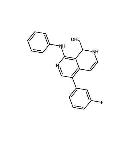 O=CC1NC=Cc2c(-c3cccc(F)c3)cnc(Nc3ccccc3)c21